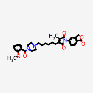 COc1ccccc1C(=O)N1CCN(CCCCCCC2=C(C)C(=O)N(c3ccc4c(c3)COC4=O)C2=O)CC1